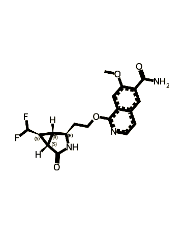 COc1cc2c(OCC[C@H]3NC(=O)[C@@H]4[C@@H](C(F)F)[C@@H]43)nccc2cc1C(N)=O